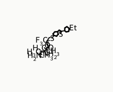 CCc1ccc(-c2cc3ccc(SCC(COC(=O)C(C)(C)C(N)CC(C)(C)N)C(F)(F)F)cc3s2)cc1